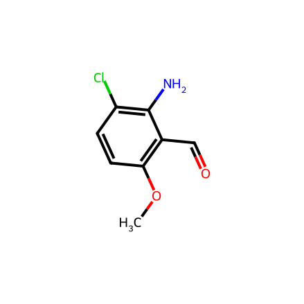 COc1ccc(Cl)c(N)c1C=O